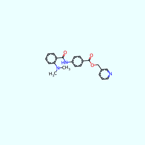 CN(C)c1ccccc1C(=O)Nc1ccc(C(=O)OCc2cccnc2)cc1